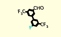 O=Cc1cc(-c2cc(F)cc(C(F)(F)F)c2)cc(C(F)(F)F)c1